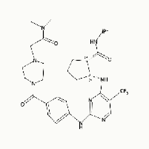 CC(C)NC(=O)[C@H]1CCC[C@H]1Nc1nc(Nc2ccc(C(=O)N3CCN(CC(=O)N(C)C)CC3)cc2)ncc1C(F)(F)F